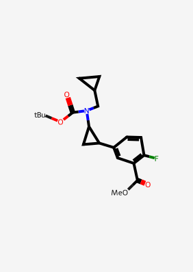 COC(=O)c1cc(C2CC2N(CC2CC2)C(=O)OC(C)(C)C)ccc1F